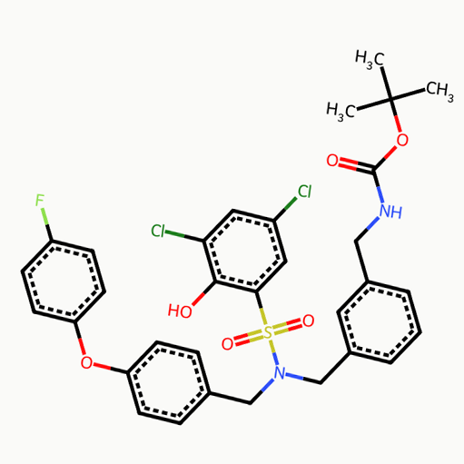 CC(C)(C)OC(=O)NCc1cccc(CN(Cc2ccc(Oc3ccc(F)cc3)cc2)S(=O)(=O)c2cc(Cl)cc(Cl)c2O)c1